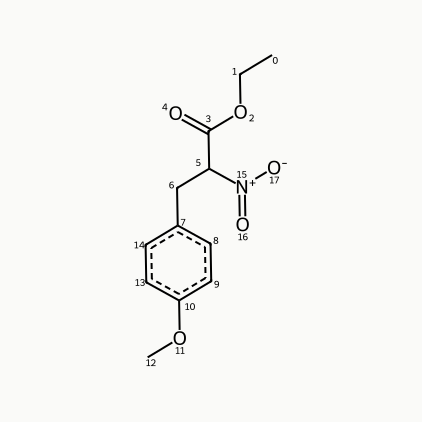 CCOC(=O)C(Cc1ccc(OC)cc1)[N+](=O)[O-]